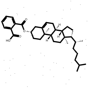 CC(C)CCC[C@@H](C)[C@H]1CC[C@H]2[C@@H]3CC=C4C[C@@H](OC(=O)c5ccccc5C(=O)O)CC[C@]4(C)[C@H]3CC[C@]12C